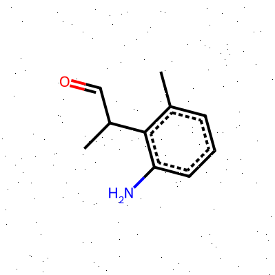 Cc1cccc(N)c1C(C)C=O